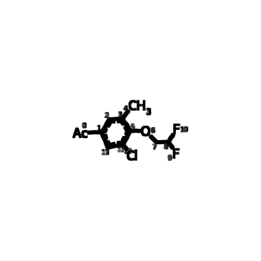 CC(=O)c1cc(C)c(OCC(F)F)c(Cl)c1